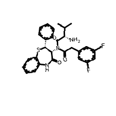 CC(C)[C@H](N)C(=O)N(C(=O)Cc1cc(F)cc(F)c1)[C@@H]1C(=O)Nc2ccccc2S[C@@H]1c1ccccc1